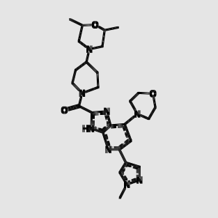 CC1CN(C2CCN(C(=O)c3nc4c(N5CCOCC5)cc(-c5cnn(C)c5)nc4[nH]3)CC2)CC(C)O1